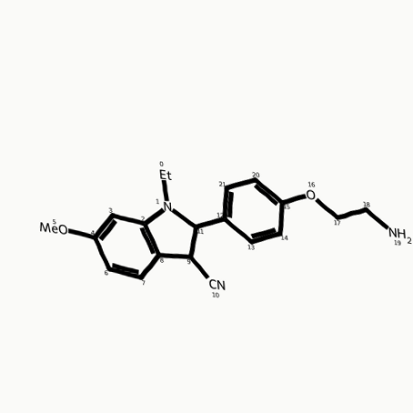 CCN1c2cc(OC)ccc2C(C#N)C1c1ccc(OCCN)cc1